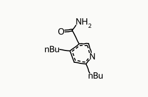 CCCCc1cc(CCCC)c(C(N)=O)cn1